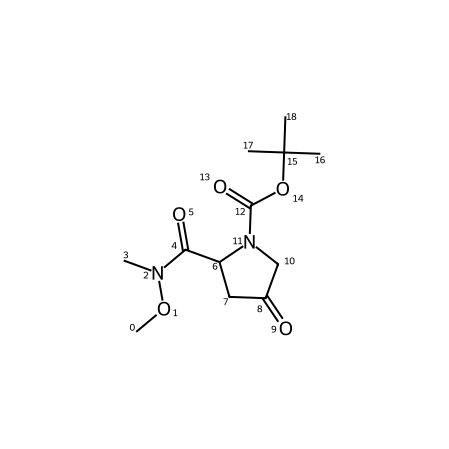 CON(C)C(=O)C1CC(=O)CN1C(=O)OC(C)(C)C